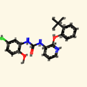 COc1ccc(Cl)cc1NC(=O)Nc1cccnc1Oc1ccccc1C(C)(C)C